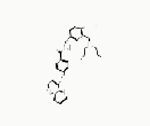 CCCN(CCC)Cc1cc(CNC(=O)c2ccc(Nc3ccnc4cccnc34)cc2)ccc1O